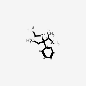 CCOC(CC)(c1ccccc1)C(C)C